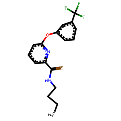 CCCCNC(=S)c1cccc(Oc2cccc(C(F)(F)F)c2)n1